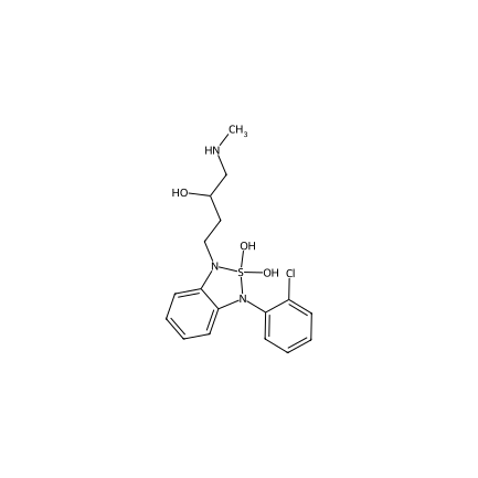 CNCC(O)CCN1c2ccccc2N(c2ccccc2Cl)S1(O)O